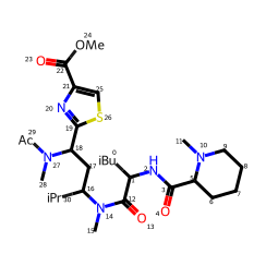 CCC(C)C(NC(=O)C1CCCCN1C)C(=O)N(C)C(CC(c1nc(C(=O)OC)cs1)N(C)C(C)=O)C(C)C